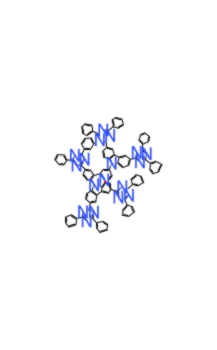 c1ccc(-c2nc(-c3ccccc3)nc(-c3ccc(-n4c5ccc(-c6nc(-c7ccccc7)nc(-c7ccccc7)n6)cc5c5cc(-c6nc(-c7ccccc7)nc(-c7ccccc7)n6)ccc54)c(-c4cc(-n5c6ccc(-c7nc(-c8ccccc8)nc(-c8ccccc8)n7)cc6c6cc(-c7nc(-c8ccccc8)nc(-c8ccccc8)n7)ccc65)ccn4)c3)n2)cc1